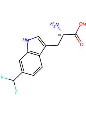 N[C@@H](Cc1c[nH]c2cc(C(F)F)ccc12)C(=O)O